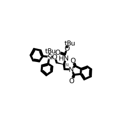 CC(C)(C)OC(=O)N[C@H](CO[Si](c1ccccc1)(c1ccccc1)C(C)(C)C)CN1C(=O)c2ccccc2C1=O